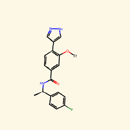 CCOc1cc(C(=O)N[C@H](C)c2ccc(F)cc2)ccc1-c1cn[nH]c1